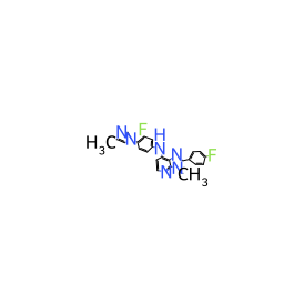 Cc1cn(-c2ccc(Nc3ccnc4c3nc(-c3ccc(F)cc3)n4C)cc2F)cn1